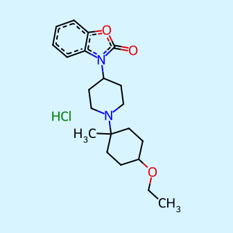 CCOC1CCC(C)(N2CCC(n3c(=O)oc4ccccc43)CC2)CC1.Cl